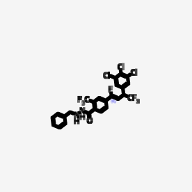 O=C(NNCc1ccccc1)c1ccc(/C(F)=C/C(c2cc(Cl)c(Cl)c(Cl)c2)C(F)(F)F)cc1C(F)(F)F